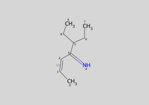 C/C=C\C(=N)C(CC)CC